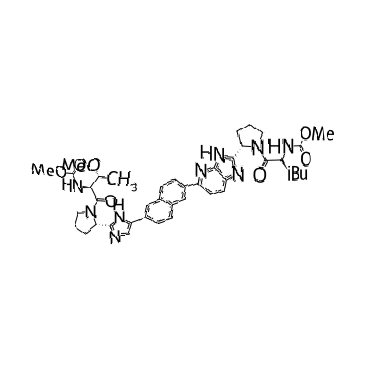 CC[C@H](C)C(NC(=O)OC)C(=O)N1CCC[C@H]1c1nc2ccc(-c3ccc4cc(-c5cnc([C@@H]6CCCN6C(=O)[C@@H](NC(=O)OC)[C@@H](C)OC)[nH]5)ccc4c3)nc2[nH]1